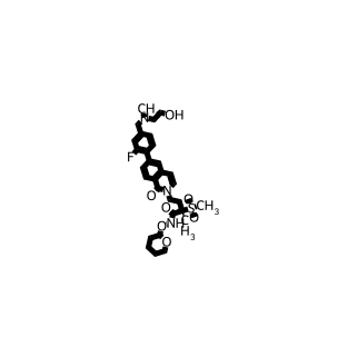 CN(CCO)Cc1ccc(-c2ccc3c(=O)n(CC[C@](C)(C(=O)NOC4CCCCO4)S(C)(=O)=O)ccc3c2)c(F)c1